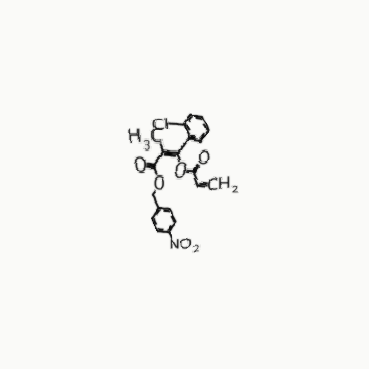 C=CC(=O)OC(=C(C)C(=O)OCc1ccc([N+](=O)[O-])cc1)c1ccccc1Cl